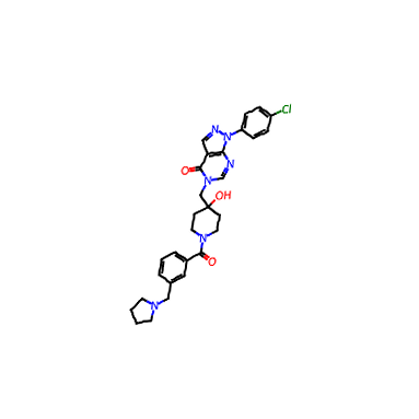 O=C(c1cccc(CN2CCCC2)c1)N1CCC(O)(Cn2cnc3c(cnn3-c3ccc(Cl)cc3)c2=O)CC1